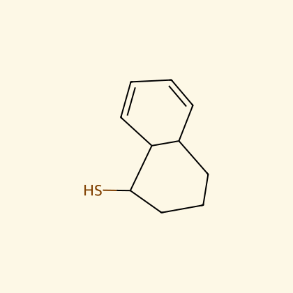 SC1CCCC2C=CC=CC12